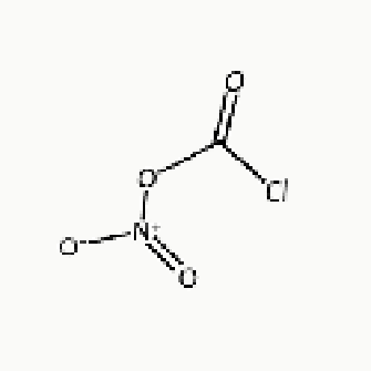 O=C(Cl)O[N+](=O)[O-]